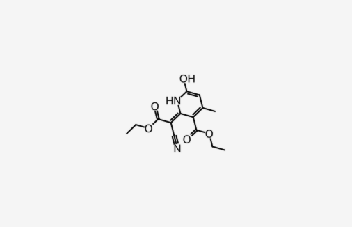 CCOC(=O)C(C#N)=C1NC(O)=CC(C)=C1C(=O)OCC